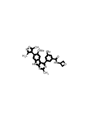 COc1cc2c(cc1-c1c(C)noc1C)[nH]c1nc(C)nc(-c3cc(C(=O)NC4COC4)cc(C(C)(C)C)c3)c12